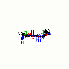 N#Cc1cc(Cl)cc2c1C[C@H](N1CCNCC1)[C@H]2Oc1ccc2c(c1)CCN(C(=O)CCCNC(=O)NCCCCNC(=O)NCCCC(=O)N1CCc3cc(O[C@H]4c5cc(Cl)cc(C#N)c5C[C@@H]4N4CCNCC4)ccc3C1)C2